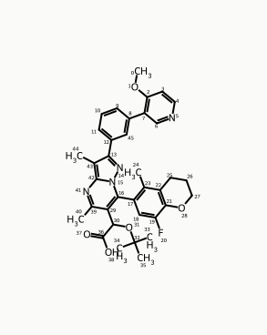 COc1ccncc1-c1cccc(-c2nn3c(-c4cc(F)c5c(c4C)CCCO5)c(C(OC(C)(C)C)C(=O)O)c(C)nc3c2C)c1